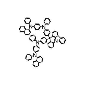 c1ccc(N(c2ccc(N(c3ccccc3)c3cccc4ccccc34)cc2)c2ccc(C3(c4ccc(N(c5ccccc5)c5ccc(N(c6ccccc6)c6cccc7ccccc67)cc5)cc4)c4ccccc4-n4c5ccccc5c5cccc3c54)cc2)cc1